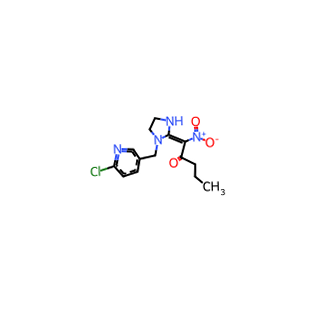 CCCC(=O)C(=C1NCCN1Cc1ccc(Cl)nc1)[N+](=O)[O-]